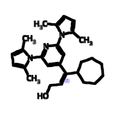 Cc1ccc(C)n1-c1cc(/C(=C\CO)C2CCCCCC2)cc(-n2c(C)ccc2C)n1